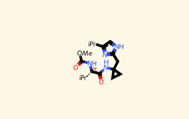 COC(=O)N[C@H](C(=O)NC1(Cc2nc(C(C)C)c[nH]2)CC1)C(C)C